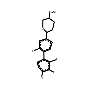 CCc1ccc(-c2ccc(C3CCC(OC)CO3)cc2F)c(F)c1F